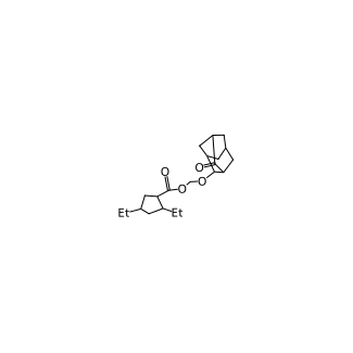 CCC1CC(CC)C(C(=O)OCOC2C3CC4CC(C3)C(=O)C2C4)C1